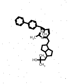 CC1=N\C(c2ccc(-c3ccccc3)cc2)=C(C)\C=C/C(CC2CCC3C(CC(C)(C)O)CCC23)=N\1